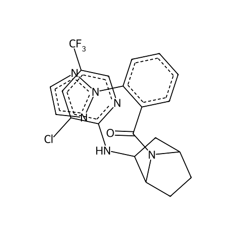 O=C(c1ccccc1-n1nccn1)N1C2CCC1C(Nc1ncc(C(F)(F)F)cc1Cl)C2